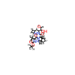 CC(=O)C(O)C(CC1CCC1)NC(=O)[C@@H]1[C@H]2CCC[C@H]2CN1C(=O)[C@@H](NC(=O)OC(C)(C)C)C(C)(C)C